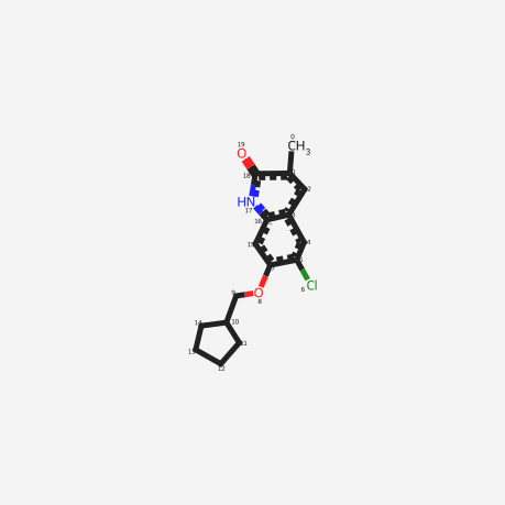 Cc1cc2cc(Cl)c(OCC3CCCC3)cc2[nH]c1=O